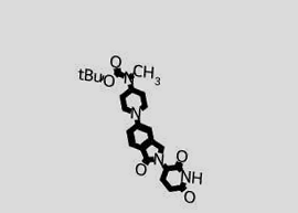 CN(C(=O)OC(C)(C)C)C1CCN(c2ccc3c(c2)CN(C2CCC(=O)NC2=O)C3=O)CC1